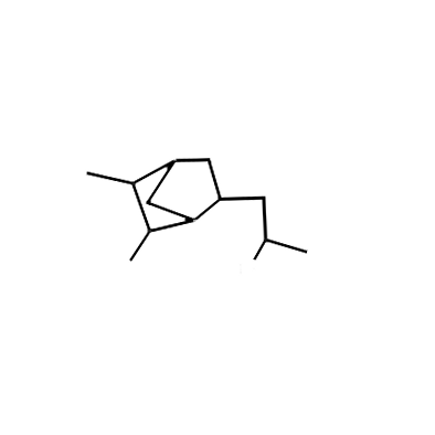 CC1C2CC(CC(O)C(=O)O)C(C2)C1C